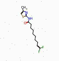 Cc1csc(NC(=O)CCCCCCCC=C(F)F)n1